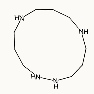 C1CNCCCNNCCCNC1